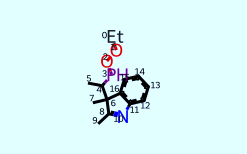 CCOOPC(C)C1(C)C(C)=Nc2ccccc21